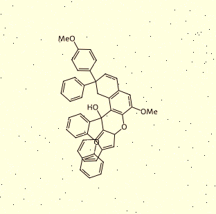 COc1ccc(C2(c3ccccc3)C=Cc3cc(OC)c4c(c3C2)C(O)(c2ccccc2Oc2ccccc2)C2=c3ccccc3=CC2O4)cc1